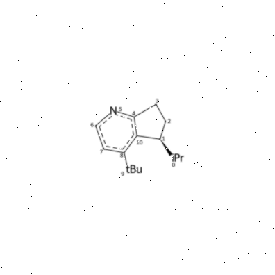 CC(C)[C@@H]1CCc2nccc(C(C)(C)C)c21